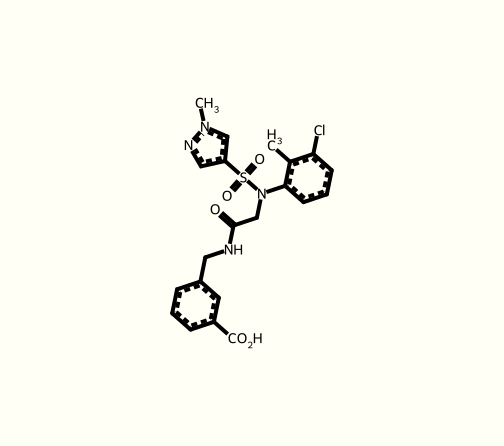 Cc1c(Cl)cccc1N(CC(=O)NCc1cccc(C(=O)O)c1)S(=O)(=O)c1cnn(C)c1